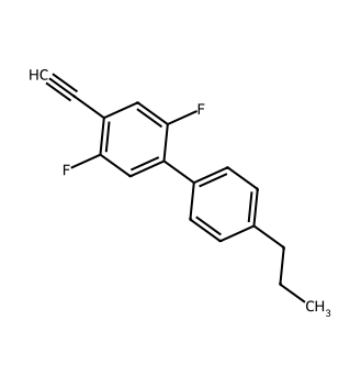 C#Cc1cc(F)c(-c2ccc(CCC)cc2)cc1F